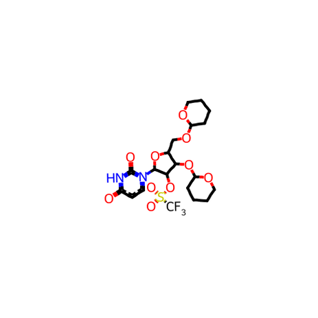 O=c1ccn(C2OC(COC3CCCCO3)C(OC3CCCCO3)C2OS(=O)(=O)C(F)(F)F)c(=O)[nH]1